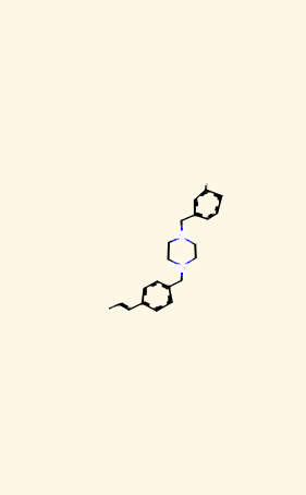 C[C@@H]1CN(Cc2ccc(C=CC(=O)O)cc2)C[C@H](C)N1Cc1cccc(C=O)c1